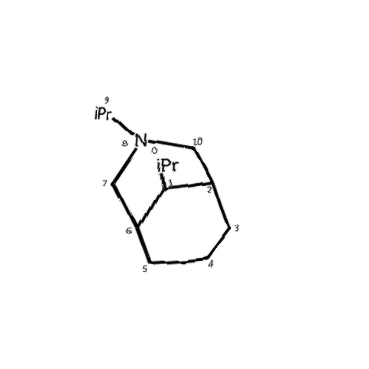 CC(C)C1C2CCCC1CN(C(C)C)C2